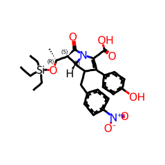 CC[Si](CC)(CC)O[C@H](C)[C@H]1C(=O)N2C(C(=O)O)=C(c3ccc(O)cc3)C(Cc3ccc([N+](=O)[O-])cc3)[C@H]12